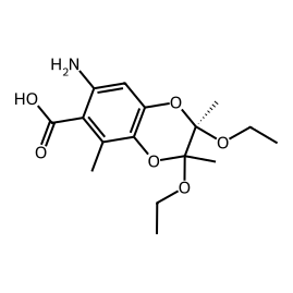 CCOC1(C)Oc2c(cc(N)c(C(=O)O)c2C)O[C@@]1(C)OCC